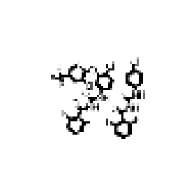 O=C(NC(=O)c1c(F)cccc1F)Nc1ccc(Cl)c(Oc2ncc(C(F)(F)F)cc2Cl)c1.O=C(NC(=O)c1c(F)cccc1F)Nc1ccc(Cl)cc1